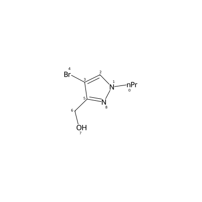 CCCn1cc(Br)c(CO)n1